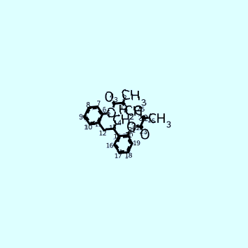 C=C(C)C(=O)Oc1ccccc1CC(C)c1ccccc1OC(=O)C(=C)C